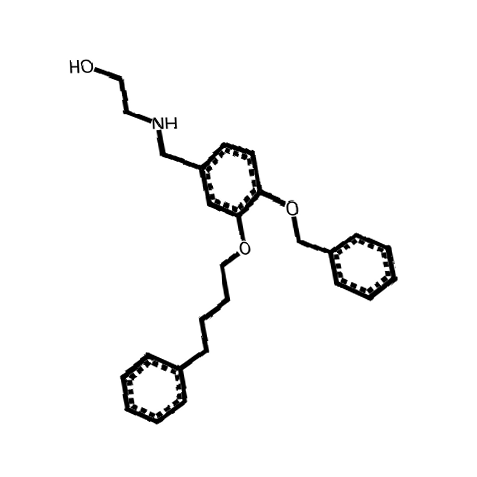 OCCNCc1ccc(OCc2ccccc2)c(OCCCCc2ccccc2)c1